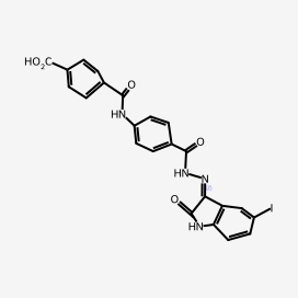 O=C1Nc2ccc(I)cc2/C1=N/NC(=O)c1ccc(NC(=O)c2ccc(C(=O)O)cc2)cc1